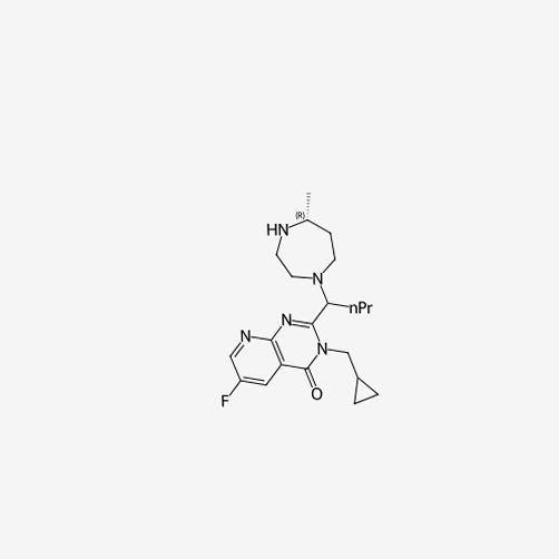 CCCC(c1nc2ncc(F)cc2c(=O)n1CC1CC1)N1CCN[C@H](C)CC1